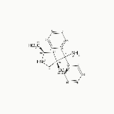 NC(c1ccccc1)(c1ccccc1)[C@]1(C(=O)O)CN[C@@H](C(=O)O)C1